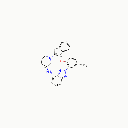 Cc1ccc(O[C@H]2c3ccccc3C[C@H]2N2CCC[C@H](N)C2)c(-n2nc3ccccc3n2)c1